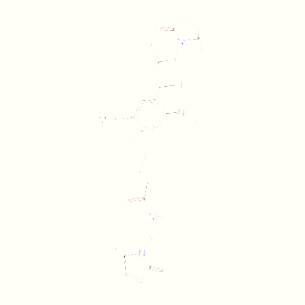 COc1cc(C(C)OC(=O)ON2C(=O)CCC2=O)c([N+](=O)[O-])cc1OCCCC(=O)NCCN1C(=O)C=CC1=O